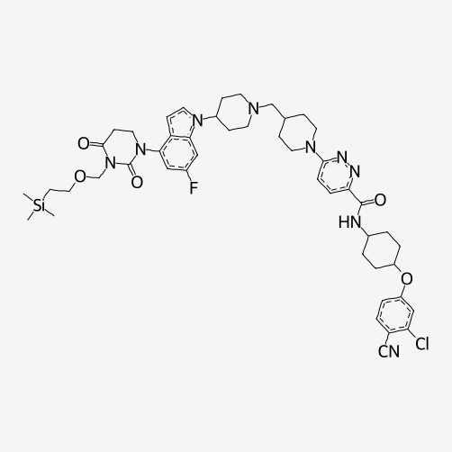 C[Si](C)(C)CCOCN1C(=O)CCN(c2cc(F)cc3c2ccn3C2CCN(CC3CCN(c4ccc(C(=O)NC5CCC(Oc6ccc(C#N)c(Cl)c6)CC5)nn4)CC3)CC2)C1=O